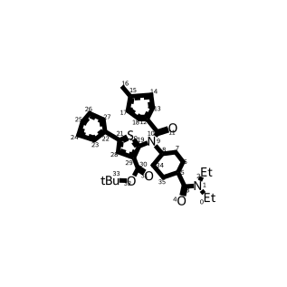 CCN(CC)C(=O)C1CCC(N(C(=O)c2ccc(C)cc2)c2sc(-c3ccccc3)cc2C(=O)OC(C)(C)C)CC1